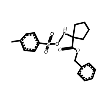 Cc1ccc(S(=O)(=O)ONC2(C(=O)OCc3ccccc3)CCCC2)cc1